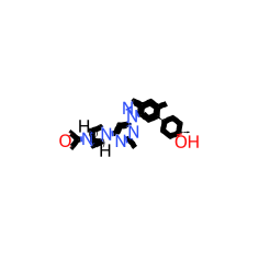 Cc1nc(N2C[C@@H]3C[C@H]2CN3C2COC2)cc(-n2ncc3cc(C)c([C@H]4CC[C@](C)(O)CC4)cc32)n1